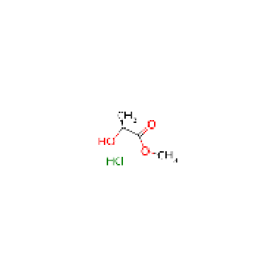 COC(=O)[C@H](C)O.Cl